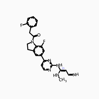 CN/C(=C\C=N)Nc1nccc(-c2cc(F)c3c(c2)CCN3C(=O)Cc2ccccc2F)n1